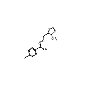 CC1OCOC1CON=C(C#N)c1ccc(Cl)cc1